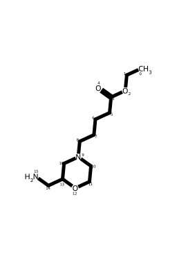 CCOC(=O)CCCCN1CCOC(CN)C1